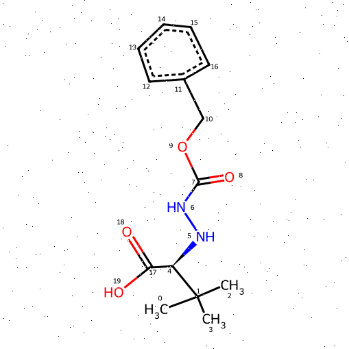 CC(C)(C)[C@H](NNC(=O)OCc1ccccc1)C(=O)O